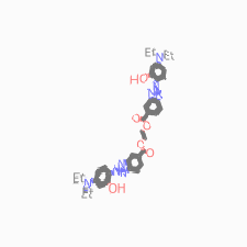 CCN(CC)c1ccc(-n2n3c4ccc(C(=O)OCCOC(=O)c5ccc6c(c5)n5n(-c7ccc(N(CC)CC)cc7O)n65)cc4n23)c(O)c1